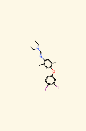 CCN(C=Nc1cc(C)c(Oc2ccc(I)c(I)c2)cc1C)CC